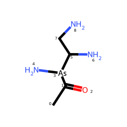 CC(=O)[As](N)C(N)CN